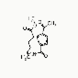 CC(=O)c1ccc(C(N)=O)cc1.CCCCCC(=O)OC